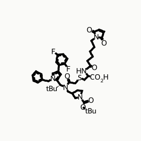 CC(C)(C)OC(=O)N1CCC(CN(C(=O)CSCC(NC(=O)CCCCCN2C(=O)C=CC2=O)C(=O)O)[C@@H](c2cc(-c3cc(F)ccc3F)cn2Cc2ccccc2)C(C)(C)C)C1